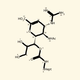 CCCCCCCNC(=O)OC(C(O)CO)[C@@H]1OC(C(=O)O)=C[C@H](NC(=N)N)[C@H]1NC(C)=O